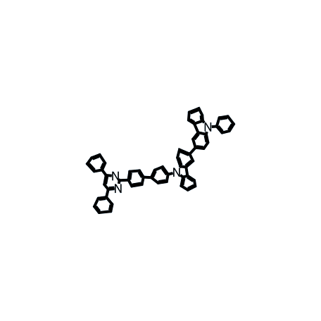 c1ccc(-c2cc(-c3ccccc3)nc(-c3ccc(-c4ccc(-n5c6ccccc6c6cc(-c7ccc8c(c7)c7ccccc7n8-c7ccccc7)ccc65)cc4)cc3)n2)cc1